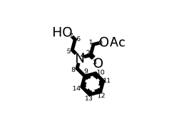 CC(=O)OCC(=O)N(CCO)Cc1ccccc1